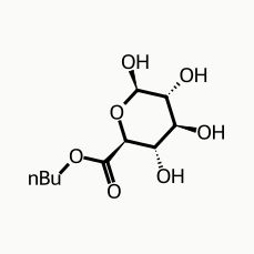 CCCCOC(=O)[C@H]1O[C@@H](O)[C@H](O)[C@@H](O)[C@@H]1O